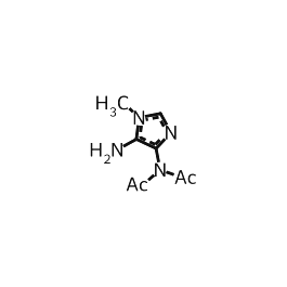 CC(=O)N(C(C)=O)c1ncn(C)c1N